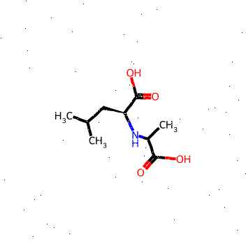 CC(C)C[C@H](NC(C)C(=O)O)C(=O)O